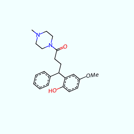 COc1ccc(O)c(C(CCC(=O)N2CCN(C)CC2)c2ccccc2)c1